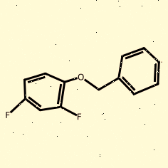 Fc1ccc(OCc2cc[c]cc2)c(F)c1